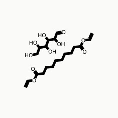 C=COC(=O)CCCCCCCCC(=O)OC=C.O=CC(O)C(O)C(O)C(O)CO